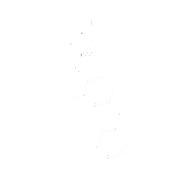 C[C@@](O)(C(=O)Nc1ccc(Cc2ccccc2)cc1Cl)C(F)(F)F